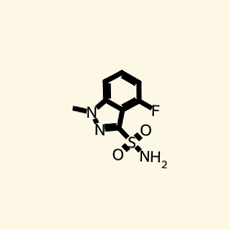 Cn1nc(S(N)(=O)=O)c2c(F)cccc21